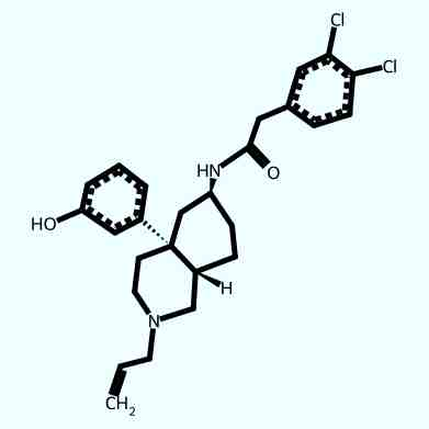 C=CCN1CC[C@@]2(c3cccc(O)c3)C[C@@H](NC(=O)Cc3ccc(Cl)c(Cl)c3)CC[C@@H]2C1